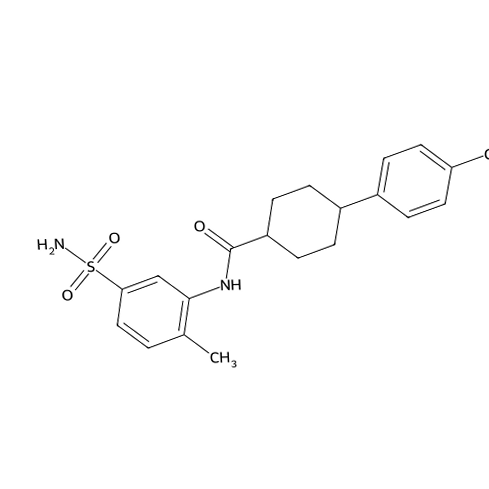 Cc1ccc(S(N)(=O)=O)cc1NC(=O)C1CCC(c2ccc(Cl)cc2)CC1